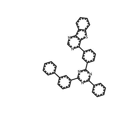 c1ccc(-c2cccc(-c3nc(-c4ccccc4)nc(-c4cccc(-c5ncnc6c5sc5ccccc56)c4)n3)c2)cc1